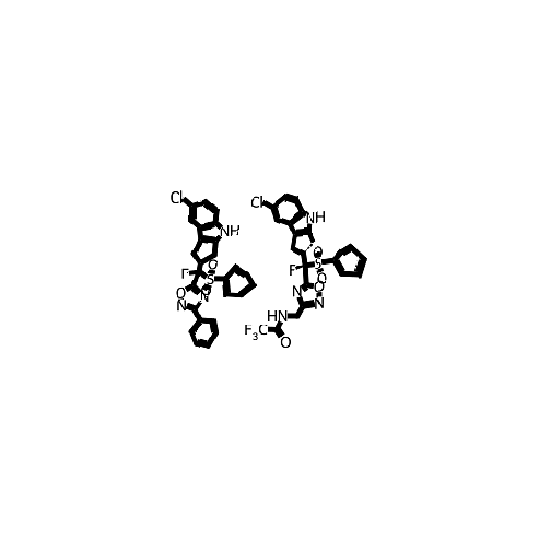 O=C(NCc1noc([C@](F)([C@H]2Cc3[nH]c4ccc(Cl)cc4c3C2)S(=O)(=O)c2ccccc2)n1)C(F)(F)F.O=S(=O)(c1ccccc1)C(F)(c1nc(-c2ccccc2)no1)C1Cc2[nH]c3ccc(Cl)cc3c2C1